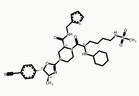 C[C@@H]1N=C(N2CCN(C(=O)[C@@H](CCCCNS(C)(=O)=O)NC3CCCCC3)[C@H](C(=O)NCc3cccs3)C2)O[C@H]1c1ccc(C#N)cc1